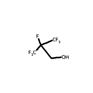 OCC(F)(C(F)(F)F)C(F)(F)F